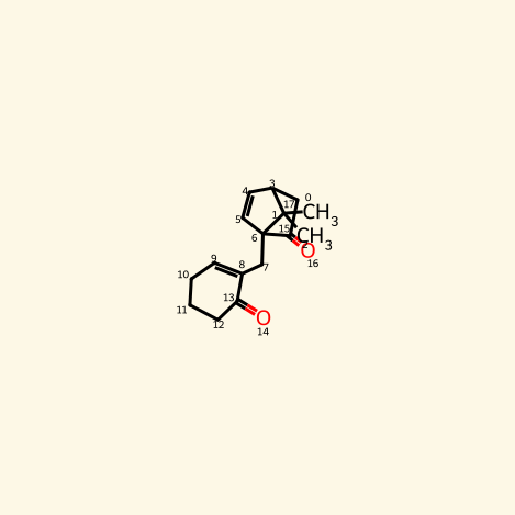 CC1(C)C2C=CC1(CC1=CCCCC1=O)C(=O)C2